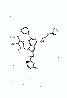 COC1OC(Cn2c(COc3cccc(Cl)c3)cc3c(NCCNC(C)=O)nc(-c4ccccc4)nc32)C(O)C1O